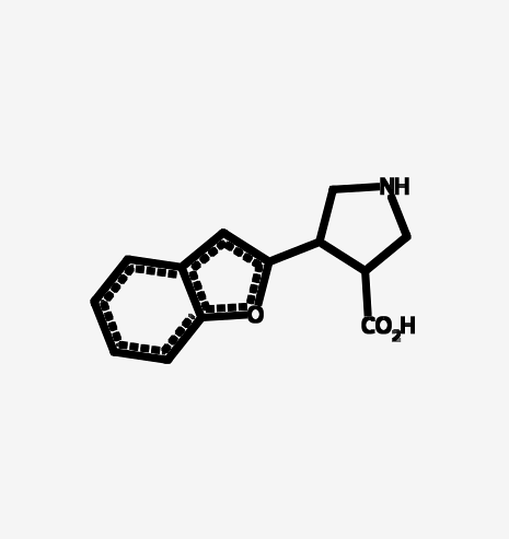 O=C(O)C1CNCC1c1cc2ccccc2o1